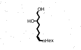 CCCCCC/C=C\CCC[C@@H](O)CCO